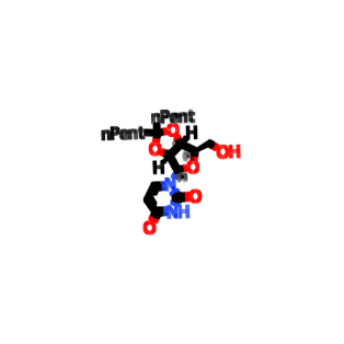 CCCCCC1(CCCCC)O[C@H]2[C@H](O1)[C@@H](CO)O[C@H]2n1ccc(=O)[nH]c1=O